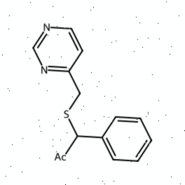 CC(=O)C(SCc1ccncn1)c1ccccc1